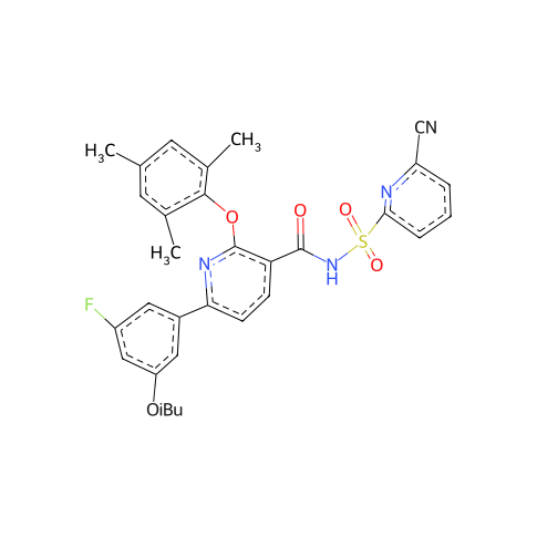 Cc1cc(C)c(Oc2nc(-c3cc(F)cc(OCC(C)C)c3)ccc2C(=O)NS(=O)(=O)c2cccc(C#N)n2)c(C)c1